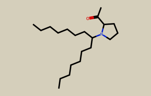 CCCCCCCC(CCCCCCC)N1CCCC1C(C)=O